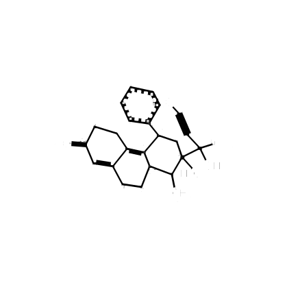 CC#CC(C)(O)C1(C)CC(c2ccccc2)C2=C3CCC(=O)C=C3CCC2C1C